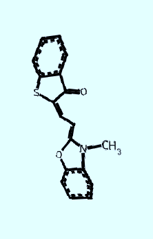 CN1/C(=C/C=C2/Sc3ccccc3C2=O)Oc2ccccc21